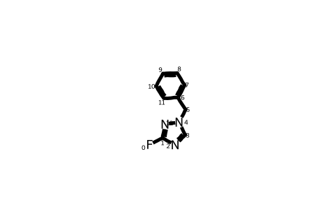 Fc1ncn(Cc2ccccc2)n1